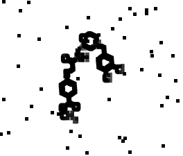 COC(=O)C1C=CC(SCC(=O)NC[C@H]2CN(Cc3ccc(Cl)c(Cl)c3)CCO2)=CC1